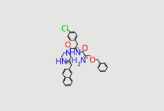 N[C@@H](COCc1ccccc1)C(=O)N[C@H](Cc1ccc(Cl)cc1)C(=O)N1CCN[C@H](Cc2ccc3ccccc3c2)C1